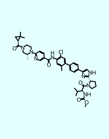 COC(=O)N[C@H](C(=O)N1CCC[C@H]1c1nc(-c2ccc(-c3cc(Cl)c(NC(=O)c4ccc(N5CCN(C(=O)[C@H]6CC6(C)C)C[C@H]5C)nc4)cc3C)cc2)c[nH]1)C(C)C